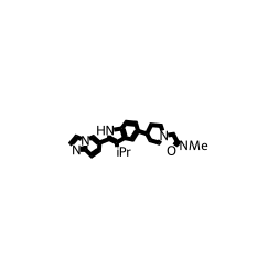 CNC(=O)CN1CCC(c2ccc3[nH]c(-c4ccc5nccn5c4)c(C(C)C)c3c2)CC1